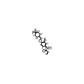 C=CC(=O)Nc1ccc(OCC2CCC(F)(F)CC2)c(F)c1